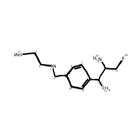 CSCCNCC1C=CC(C(C)C(N)CF)=CC1